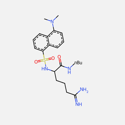 CCCCNC(=O)C(CCCC(=N)N)NS(=O)(=O)c1cccc2c(N(C)C)cccc12